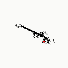 CCCCCCCCCCCCCCC(CCCCC(CCOCC(COOC(C)=O)OOC(C)=O)OC(C)=O)OC(C)=O